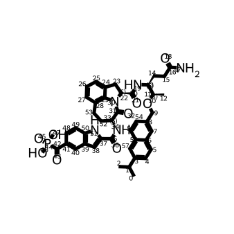 CC(C)c1ccc2cc(CO[C@H](C)[C@H](CCC(N)=O)NC(=O)[C@@H]3Cc4cccc5c4N3C(=O)[C@@H](NC(=O)c3cc4cc(C(=O)P(=O)(O)O)ccc4[nH]3)CC5)ccc2c1